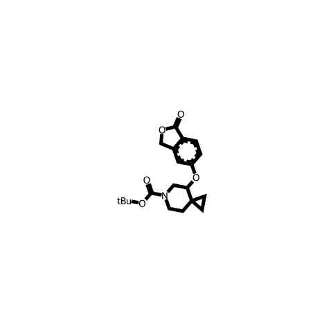 CC(C)(C)OC(=O)N1CCC2(CC2)C(Oc2ccc3c(c2)COC3=O)C1